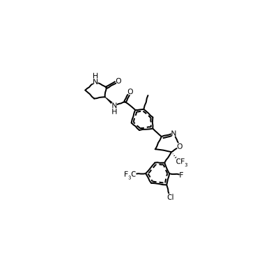 Cc1cc(C2=NO[C@](c3cc(C(F)(F)F)cc(Cl)c3F)(C(F)(F)F)C2)ccc1C(=O)N[C@H]1CCNC1=O